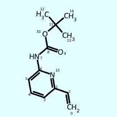 C=Cc1cccc(NC(=O)OC(C)(C)C)n1